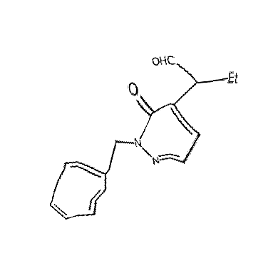 CCC(C=O)c1ccnn(Cc2ccccc2)c1=O